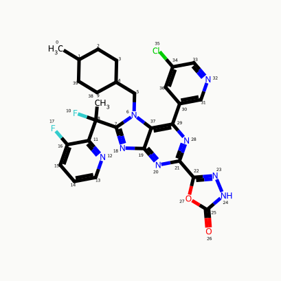 CC1CCC(Cn2c(C(C)(F)c3ncccc3F)nc3nc(-c4n[nH]c(=O)o4)nc(-c4cncc(Cl)c4)c32)CC1